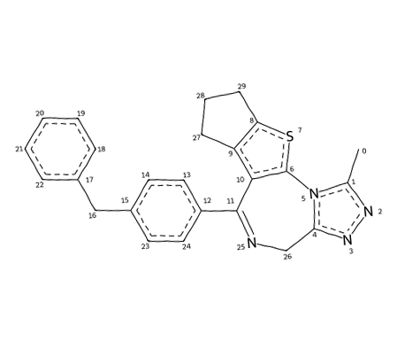 Cc1nnc2n1-c1sc3c(c1C(c1ccc(Cc4ccccc4)cc1)=NC2)CCC3